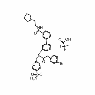 NS(=O)(=O)c1ccc(CN(Cc2cccc(-c3cccc(C(=O)NCCN4CCCC4)c3)c2)C(=O)Cc2ccc(Br)cc2)cc1.O=C(O)C(F)(F)F